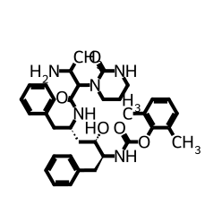 Cc1cccc(C)c1OC(=O)N[C@@H](Cc1ccccc1)[C@@H](O)C[C@H](Cc1ccccc1)NC(=O)C(C(C)N)N1CCCNC1=O